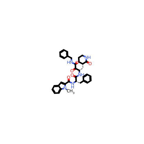 Cn1c(C(=O)N[C@@H](Cc2ccccc2)C(=O)N[C@@H](C[C@@H]2CCCNC2=O)C(=O)C(=O)NCc2ccccc2)cc2ccccc21